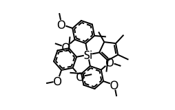 COc1ccc(C)c([Si](C2=C(C)C(C)=C(C)C2C)(c2c(C)ccc(OC)c2OC)c2c(C)ccc(OC)c2OC)c1OC